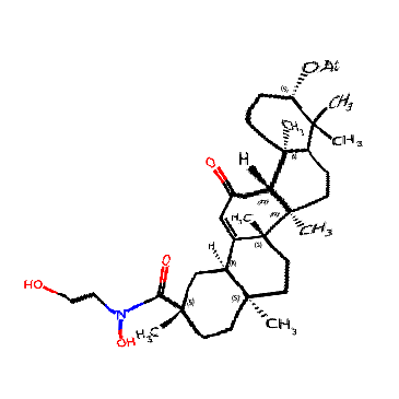 CC(=O)O[C@H]1CC[C@@]2(C)C(CC[C@]3(C)[C@@H]2C(=O)C=C2[C@@H]4C[C@@](C)(C(=O)N(O)CCO)CC[C@]4(C)CC[C@]23C)C1(C)C